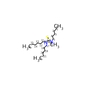 CCCCCCN(C)C(=S)N(CCCCCC)CCCCCC